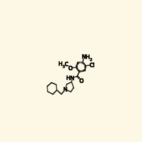 COc1cc(N)c(Cl)cc1C(=O)NC1CCN(CC2CCCCC2)C1